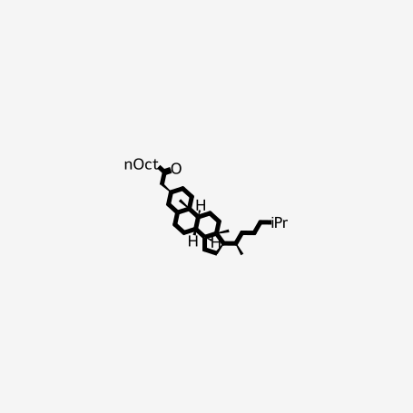 CCCCCCCCC(=O)C[C@H]1CC[C@@]2(C)C(CC[C@H]3[C@@H]4CC[C@H]([C@H](C)CCCC(C)C)[C@@]4(C)CC[C@@H]32)C1